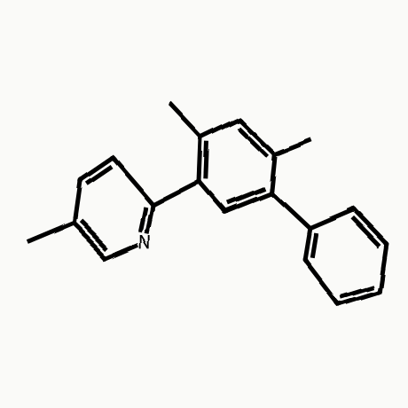 Cc1ccc(-c2cc(-c3ccccc3)c(C)cc2C)nc1